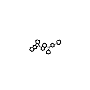 c1ccc(-c2ccc(N(c3ccccc3)c3cccc4c(-n5c6ccccc6c6cc7ccccc7cc65)cccc34)cc2)cc1